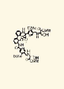 COC(=O)[C@@H](CO)NCc1cnc(C(=O)Nc2cccc(-c3cccc(NC(=O)c4cc(OC)c(CN[C@H](CO)C(=O)OC)cn4)c3C)c2C)cc1OC